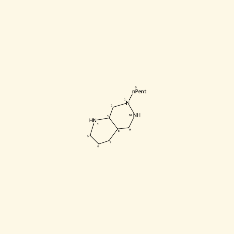 CCCCCN1CC2NCCCC2CN1